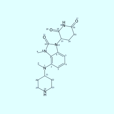 CN(c1cccc2c1n(C)c(=O)n2C1CCC(=O)NC1=O)C1CCNCC1